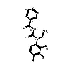 Cc1ccc(N(CN)C(=O)NC(=O)c2ccccc2)c(Br)c1C